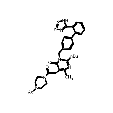 CCCCc1nc(C)c(CC(=O)N2CCN(C(C)=O)CC2)c(=O)n1Cc1ccc(-c2ccccc2-c2nnn[nH]2)cc1